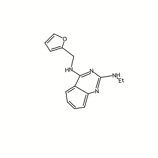 CCNc1nc(NCc2ccco2)c2ccccc2n1